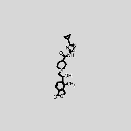 Cc1c(C(O)CN2CCC(C(=O)Nc3nc(C4CC4)ns3)CC2)ccc2c1COC2=O